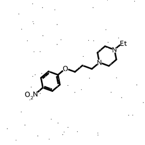 CCN1CCN(CCCOc2ccc([N+](=O)[O-])cc2)CC1